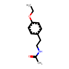 CCOc1ccc(CCNC(C)=O)cc1